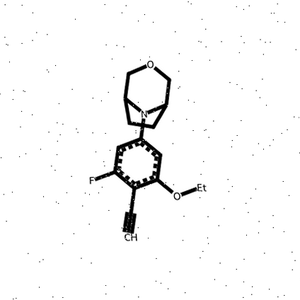 C#Cc1c(F)cc(N2C3CCC2COC3)cc1OCC